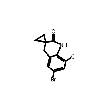 O=C1Nc2c(Cl)cc(Br)cc2CC12CC2